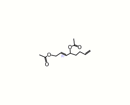 C=CCCC(/C=C/COC(C)=O)OC(C)=O